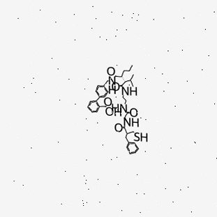 CCCC(C(=O)NCc1ccc(-c2ccccc2C(=O)O)cc1)[C@@H](C(=O)NCCNC(=O)CNC(=O)C(CS)Cc1ccccc1)C(C)C